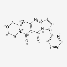 Cc1nc2ccn(-c3ccccn3)n2c(=O)c1C(=O)N1CCOCC1